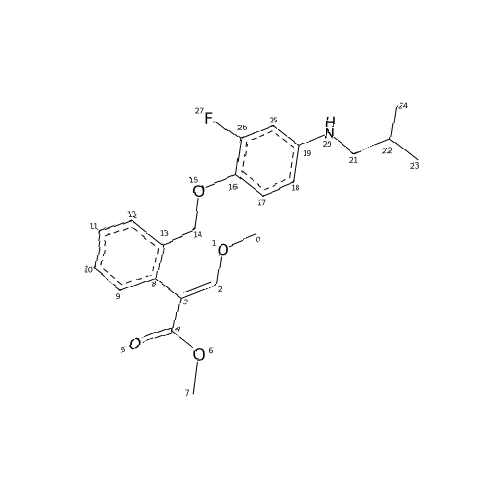 CO/C=C(/C(=O)OC)c1ccccc1COc1ccc(NCC(C)C)cc1F